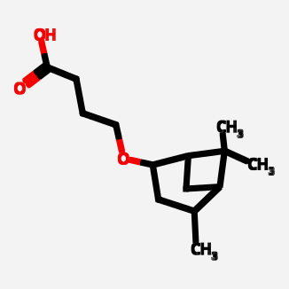 CC1CC(OCCCC(=O)O)C2CC1C2(C)C